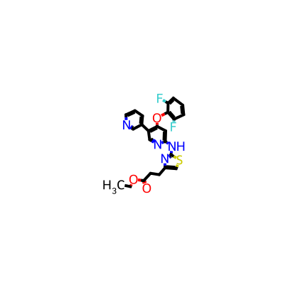 CCOC(=O)CCc1csc(Nc2cc(Oc3c(F)cccc3F)c(-c3cccnc3)cn2)n1